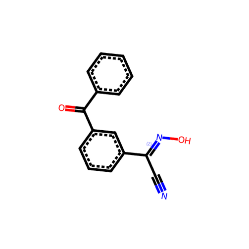 N#C/C(=N\O)c1cccc(C(=O)c2ccccc2)c1